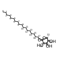 CCCCCCCCCCCCCCCCCCO[C@H]1O[C@H](C)[C@@H](O)[C@H](O)[C@@H]1O